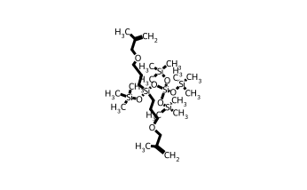 C=C(C)COCCC[Si](CCCOCC(=C)C)(O[Si](C)(C)C)O[Si](O[Si](C)(C)C)(O[Si](C)(C)C)O[Si](C)(C)C